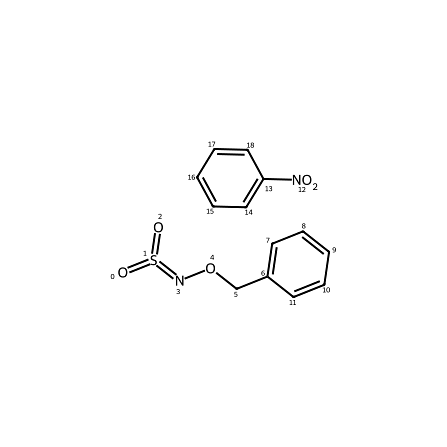 O=S(=O)=NOCc1ccccc1.O=[N+]([O-])c1ccccc1